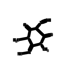 CN1C(=O)C(N=N)C(=O)N(C)C1=NC#N